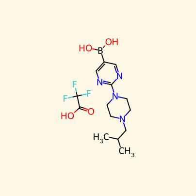 CC(C)CN1CCN(c2ncc(B(O)O)cn2)CC1.O=C(O)C(F)(F)F